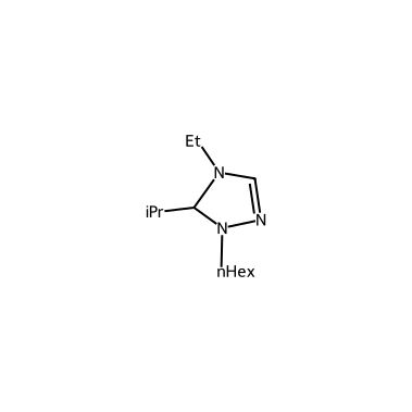 CCCCCCN1N=CN(CC)C1C(C)C